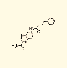 NC(=O)c1cnc2cc(NC(=O)[CH]CCc3ccccc3)ccc2n1